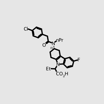 CCCN(C(=O)Cc1ccc(Cl)cc1)[C@H]1CCc2c(c3cc(F)ccc3n2C(CC)C(=O)O)C1